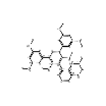 COc1cc(OC)cc(-c2cc(-c3cc(OC)cc(OC)c3)c(OC)c(-c3cccc4c3PC(C)CO4)c2OC)c1